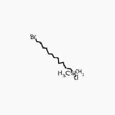 C[Si](C)(Cl)CCCCCCCCCCCCBr